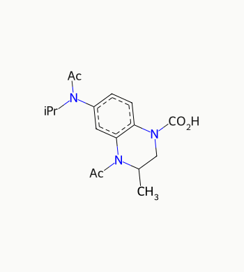 CC(=O)N(c1ccc2c(c1)N(C(C)=O)C(C)CN2C(=O)O)C(C)C